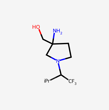 CC(C)C(N1CCC(N)(CO)C1)C(F)(F)F